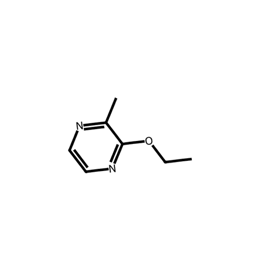 CCOc1nccnc1C